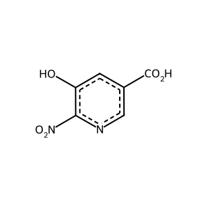 O=C(O)c1cnc([N+](=O)[O-])c(O)c1